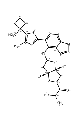 Cc1nc(-c2cnc3[nH]ccc3c2NC2C[C@@H]3CN(C(=O)[C@H](C)O)C[C@@H]3C2)sc1C1(C(=O)O)CCC1